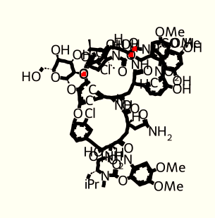 COc1cc(COC(=O)N[C@@]2(C)C[C@H](O[C@H]3[C@H](Oc4c5cc6cc4Oc4ccc(cc4Cl)[C@@H](O)[C@@H](NC(=O)[C@@H](CC(C)C)N(C)C(=O)Oc4cc(OC)c(OC)cc4[N+](=O)[O-])C(=O)C[C@@H](CC(N)=O)C(=O)N[C@H]6C(=O)C[C@H]4C(=O)N[C@H](C(=O)N[C@H](C(=O)O)c6cc(O)cc(O)c6-c6cc4ccc6O)[C@H](O)c4ccc(c(Cl)c4)O5)O[C@H](CO)[C@@H](O)[C@@H]3O)O[C@@H](C)[C@H]2O)c([N+](=O)[O-])cc1OC